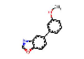 COc1cccc(-c2ccc3ocnc3c2)c1